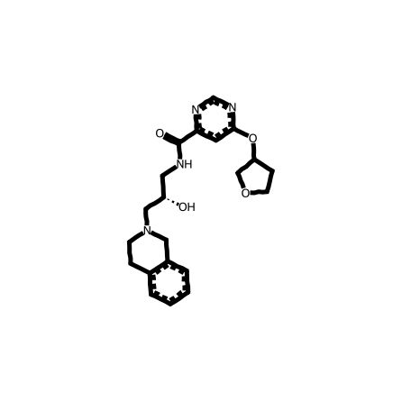 O=C(NC[C@H](O)CN1CCc2ccccc2C1)c1cc(OC2CCOC2)ncn1